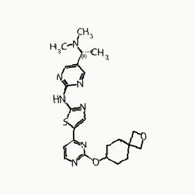 C[C@H](c1cnc(Nc2ncc(-c3ccnc(OC4CCC5(CC4)COC5)n3)s2)nc1)N(C)C